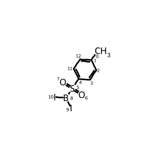 Cc1ccc(S(=O)(=O)B(I)I)cc1